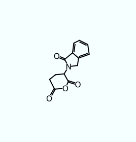 O=C1CCC(N2Cc3ccccc3C2=O)C(=O)O1